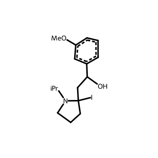 COc1cccc(C(O)CC2(I)CCCN2C(C)C)c1